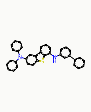 c1ccc(-c2cccc(Nc3cccc4c3sc3ccc(N(c5ccccc5)c5ccccc5)cc34)c2)cc1